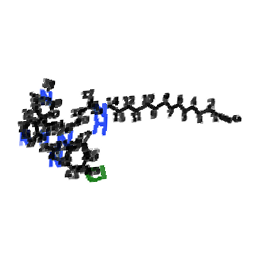 C#CCCCCCCCCCCCCCNC(=C)CCCn1c(CN(C)c2cnccc2C2(C=C)CCN(C)CC2)nc2cc(Cl)ccc21